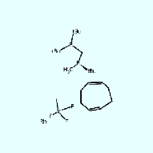 C1=C\CC/C=C\CC/1.C[P@@](CP(C(C)(C)C)C(C)(C)C)C(C)(C)C.F[B-](F)(F)F.[Rh]